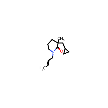 CC=CCN1CCCC(C)(CC2CC2)C1=O